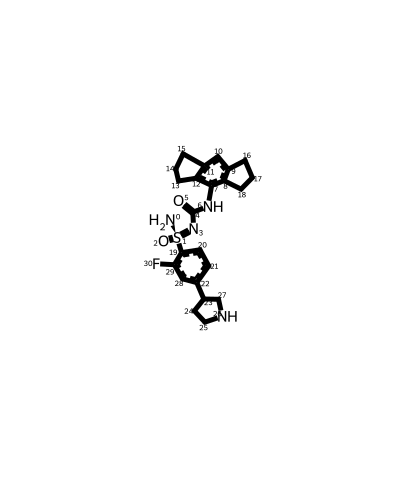 N[S@@](=O)(=NC(=O)Nc1c2c(cc3c1CCC3)CCC2)c1ccc(C2CCNC2)cc1F